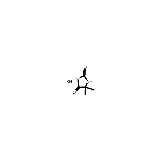 CC1(C)NC(=O)OC1=O.[KH]